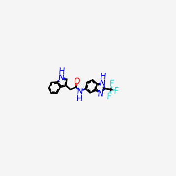 O=C(Cc1c[nH]c2ccccc12)Nc1ccc2[nH]c(C(F)(F)F)nc2c1